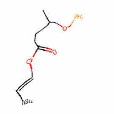 CCCCC=COC(=O)CC(C)OP